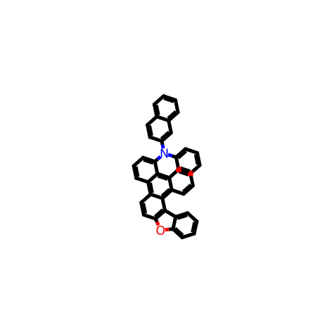 c1ccc(N(c2ccc3ccccc3c2)c2cccc3c4ccc5oc6ccccc6c5c4c4ccccc4c23)cc1